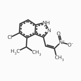 CC(=Cc1n[nH]c2ccc(Cl)c(C(C)C)c12)[N+](=O)[O-]